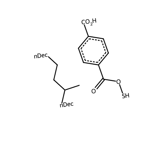 CCCCCCCCCCCCC(C)CCCCCCCCCC.O=C(O)c1ccc(C(=O)OS)cc1